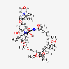 CO[C@H]1/C=C/O[C@@]2(C)Oc3c(C)c(O)c4c(=O)c(c5oc6cc(OCC[N+]7(C(C)(C)C)CCOCC7)ccc6nc-5c4c3C2=O)NC(=O)/C(C)=C\C=C\[C@H](C)[C@H](O)[C@@H](C)[C@@H](C)[C@@H](C)[C@H](OC(C)=O)[C@@H]1C